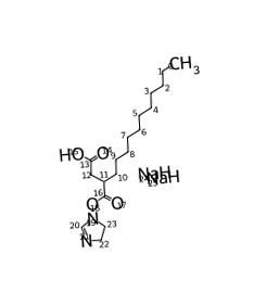 CCCCCCCCCCCC(CC(=O)O)C(=O)ON1C=NCC1.[NaH].[NaH]